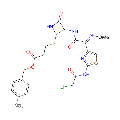 CON=C(C(=O)NC1C(=O)NC1SCCC(=O)OCc1ccc([N+](=O)[O-])cc1)c1csc(NC(=O)CCl)n1